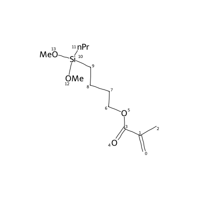 C=C(C)C(=O)OCCCC[Si](CCC)(OC)OC